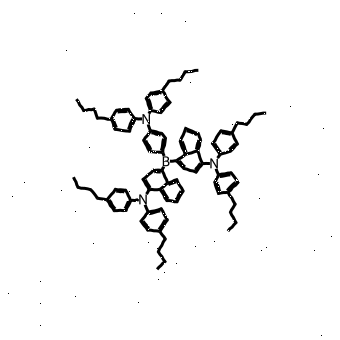 CCCCc1ccc(N(c2ccc(CCCC)cc2)c2ccc(B(c3ccc(N(c4ccc(CCCC)cc4)c4ccc(CCCC)cc4)c4ccccc34)c3ccc(N(c4ccc(CCCC)cc4)c4ccc(CCCC)cc4)c4ccccc34)cc2)cc1